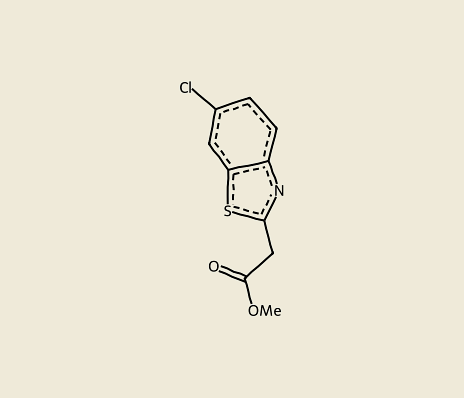 COC(=O)Cc1nc2ccc(Cl)cc2s1